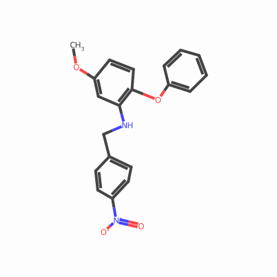 COc1ccc(Oc2ccccc2)c(NCc2ccc([N+](=O)[O-])cc2)c1